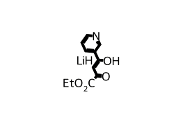 CCOC(=O)C(=O)C=C(O)c1cccnc1.[LiH]